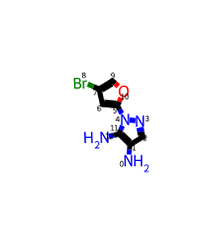 Nc1cnn(-c2cc(Br)co2)c1N